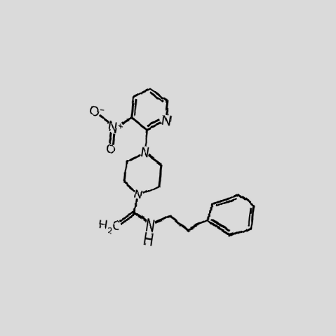 C=C(NCCc1ccccc1)N1CCN(c2ncccc2[N+](=O)[O-])CC1